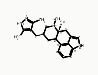 Cc1n[nH]c(C)c1C[C@@H]1CC2c3cccc4[nH]cc(c34)C[C@H]2N(C)C1